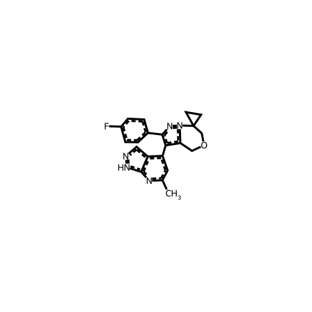 Cc1cc(-c2c(-c3ccc(F)cc3)nn3c2COCC32CC2)c2cn[nH]c2n1